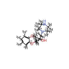 [2H]c1c([2H])c([2H])c(OC([2H])([2H])C([2H])(O)C([2H])([2H])N2C([2H])([2H])C([2H])([2H])NC([2H])([2H])C2([2H])[2H])c(OC([2H])([2H])[2H])c1[2H]